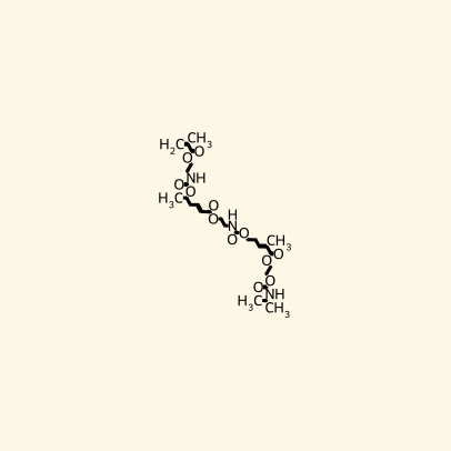 C=C(C)C(=O)OCCNC(=O)OC(C)C/C=C/C(=O)OCCNC(=O)OCC/C=C(\C)C(=O)OCCOC(=O)NC(C)C